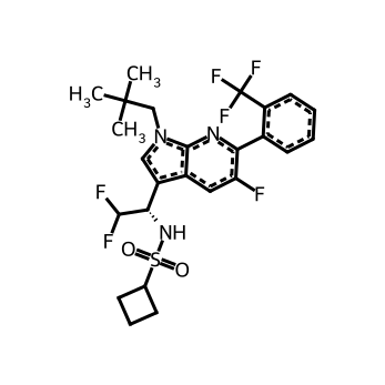 CC(C)(C)Cn1cc([C@H](NS(=O)(=O)C2CCC2)C(F)F)c2cc(F)c(-c3ccccc3C(F)(F)F)nc21